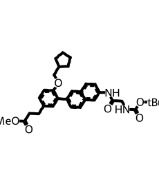 COC(=O)CCc1ccc(OCC2CCCC2)c(-c2ccc3cc(NC(=O)CNC(=O)OC(C)(C)C)ccc3c2)c1